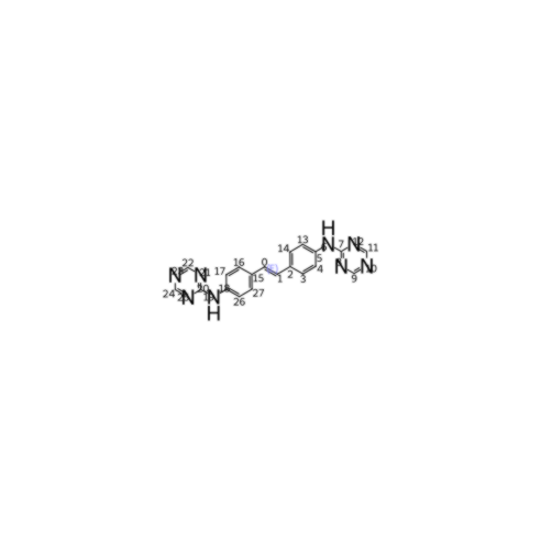 C(=C\c1ccc(Nc2ncncn2)cc1)/c1ccc(Nc2ncncn2)cc1